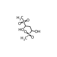 CS(=O)(=O)C(O)CC(O)S(C)(=O)=O